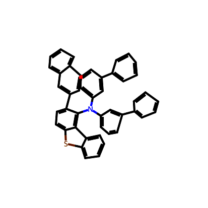 c1ccc(-c2cccc(N(c3cccc(-c4ccccc4)c3)c3c(-c4ccc5ccccc5c4)ccc4sc5ccccc5c34)c2)cc1